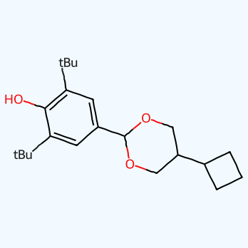 CC(C)(C)c1cc(C2OCC(C3CCC3)CO2)cc(C(C)(C)C)c1O